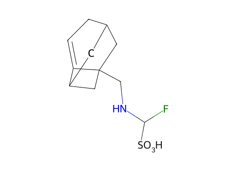 O=S(=O)(O)C(F)NCC12CC3CC=C1C(C3)C2